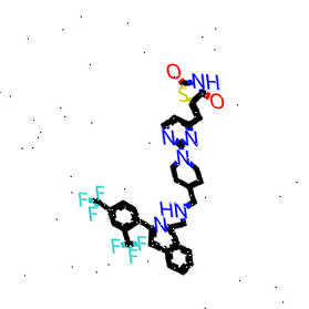 O=C1NC(=O)/C(=C/c2ccnc(N3CCC(CNCc4nc(-c5ccc(C(F)(F)F)cc5C(F)(F)F)cc5ccccc45)CC3)n2)S1